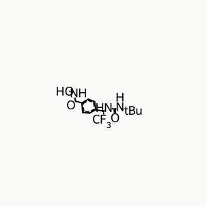 CC(C)(C)NC(=O)N[C@H](c1ccc(C(=O)NO)cc1)C(F)(F)F